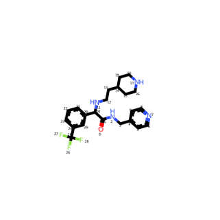 O=C(NCc1ccncc1)C(NCCC1CCNCC1)c1cccc(C(F)(F)F)c1